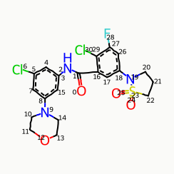 O=C(Nc1cc(Cl)cc(N2CCOCC2)c1)c1cc(N2CCCS2(=O)=O)cc(F)c1Cl